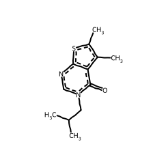 Cc1sc2ncn(CC(C)C)c(=O)c2c1C